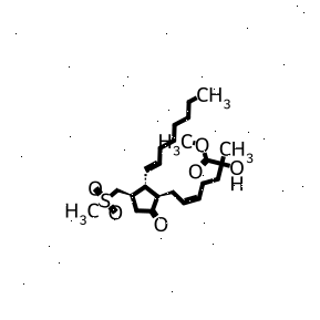 CCCCCC/C=C/[C@H]1[C@H](CS(C)(=O)=O)CC(=O)[C@@H]1C/C=C\CCC(C)(O)C(=O)OC